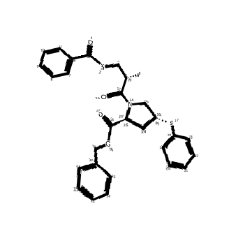 C[C@@H](CSC(=O)c1ccccc1)C(=O)N1C[C@H](Sc2ccccc2)C[C@H]1C(=O)OCc1ccccc1